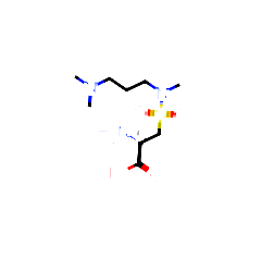 CN(C)CCCN(C)S(=O)(=O)C[C@H](N)C(=O)O